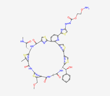 CNC(=O)C[C@@H]1NC(=O)c2csc(n2)-c2ccc(-c3nc(N=NC(=O)OCCON)cs3)nc2-c2csc(n2)-c2csc(n2)[C@H]([C@@H](O)c2ccccc2)NC(=O)CNC(=O)c2nc(sc2COC)NC(=O)c2nc1sc2C